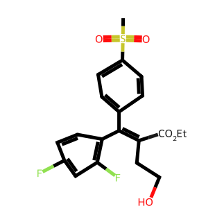 CCOC(=O)/C(CCO)=C(\c1ccc(S(C)(=O)=O)cc1)c1ccc(F)cc1F